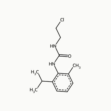 Cc1cccc(C(C)C)c1NC(=O)NCCCl